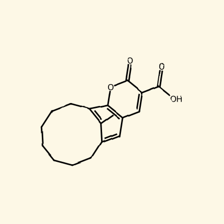 Cc1c2cc3cc(C(=O)O)c(=O)oc3c1CCCCCCC2